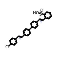 O=S(=O)(O)c1ccccc1/C=C/c1ccc(-c2ccc(/C=C/c3ccc(Cl)cc3)cc2)cc1